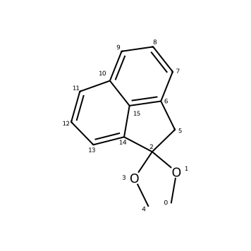 COC1(OC)Cc2cccc3cccc1c23